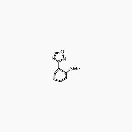 CSc1ccccc1-c1n[c]on1